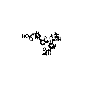 [2H]C([2H])([2H])NC(=O)c1nnc(NC(=O)C2CC2)cc1Nc1cccc(-c2cnn(CC(=O)O)n2)c1OC